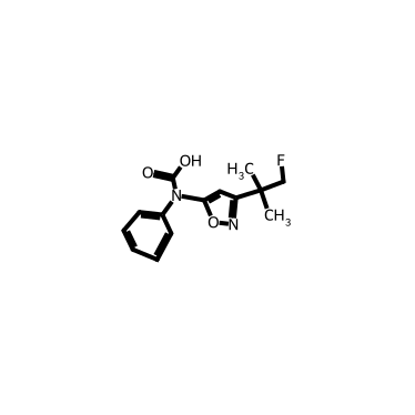 CC(C)(CF)c1cc(N(C(=O)O)c2ccccc2)on1